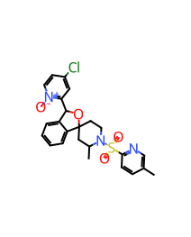 Cc1ccc(S(=O)(=O)N2CCC3(CC2C)OC(c2cc(Cl)cc[n+]2[O-])c2ccccc23)nc1